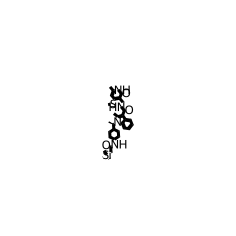 CSc1cc(C)[nH]c(=O)c1CNC(=O)c1c(C)n([C@H](C)C2CCC(NC(=O)C[Si](C)(C)C)CC2)c2ccccc12